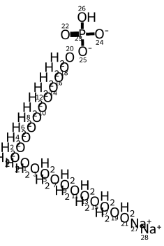 O.O.O.O.O.O.O.O.O.O.O.O.O.O.O.O.O.O.O.O.O.O.O=P([O-])([O-])O.[Na+].[Na+]